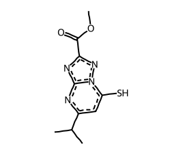 COC(=O)c1nc2nc(C(C)C)cc(S)n2n1